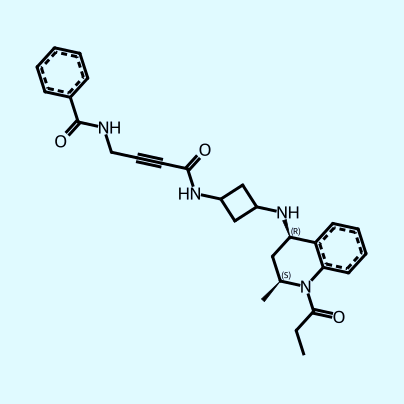 CCC(=O)N1c2ccccc2[C@H](NC2CC(NC(=O)C#CCNC(=O)c3ccccc3)C2)C[C@@H]1C